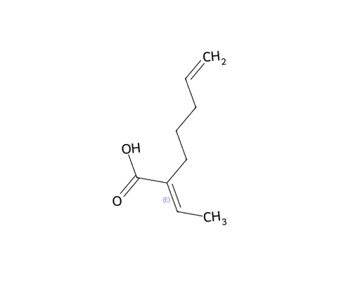 C=CCCC/C(=C\C)C(=O)O